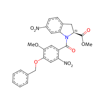 COC(=O)[C@@H]1Cc2ccc([N+](=O)[O-])cc2N1C(=O)c1cc(OC)c(OCc2ccccc2)cc1[N+](=O)[O-]